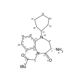 CC(C)(C)C(=O)CN1C(=O)[C@@H](N)CN(C2CCCCC2)c2ccccc21